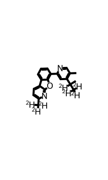 [2H]C([2H])([2H])c1ccc2c(n1)oc1c(-c3cc(C([2H])(C)C([2H])([2H])[2H])c(C)cn3)cccc12